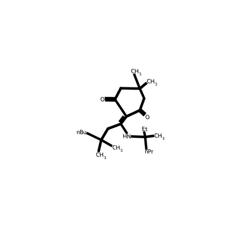 CCCCC(C)(C)CC(NC(C)(CC)CCC)=C1C(=O)CC(C)(C)CC1=O